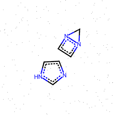 c1c[nH]cn1.c1cn2n1C2